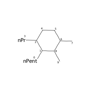 CCCCCC1C(CCC)CCC(C)C1C